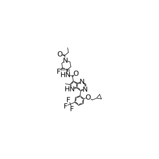 CCC(=O)N1CC[C@@H](NC(=O)c2c(C)[nH]c3c(-c4cc(C(F)(F)F)ccc4OCC4CC4)ncnc23)[C@@H](F)C1